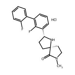 CN1CC[C@@]2(CC[C@H](c3cccc(-c4ccccc4F)c3F)N2)C1=O.Cl